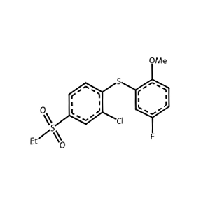 CCS(=O)(=O)c1ccc(Sc2cc(F)ccc2OC)c(Cl)c1